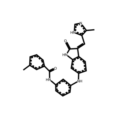 Cc1cccc(C(=O)Nc2cccc(Nc3ccc4c(c3)NC(=O)C4=Cc3[nH]cnc3C)c2)c1